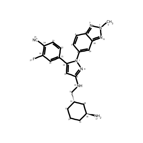 Cn1nc2ccc(-n3nc(NC[C@H]4CCC[C@H](N)C4)cc3-c3ccc(C#N)c(F)c3)cc2n1